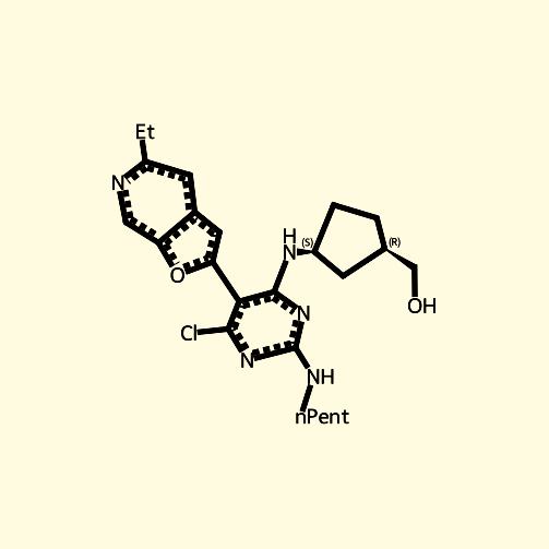 CCCCCNc1nc(Cl)c(-c2cc3cc(CC)ncc3o2)c(N[C@H]2CC[C@@H](CO)C2)n1